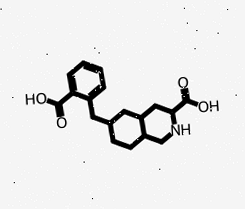 O=C(O)c1ccccc1CC1CCC2CNC(C(=O)O)CC2C1